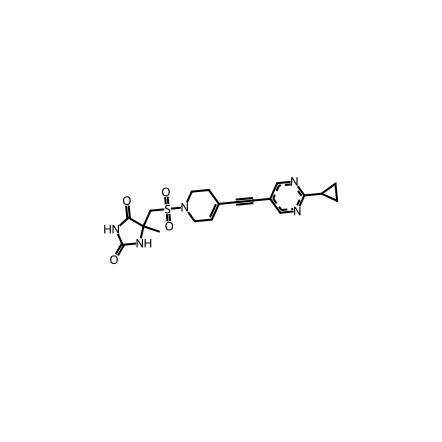 CC1(CS(=O)(=O)N2CC=C(C#Cc3cnc(C4CC4)nc3)CC2)NC(=O)NC1=O